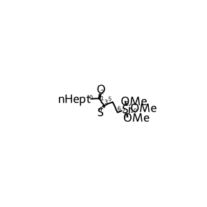 CCCCCCCC(=O)C(=S)CC[Si](OC)(OC)OC